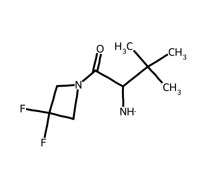 CC(C)(C)C([NH])C(=O)N1CC(F)(F)C1